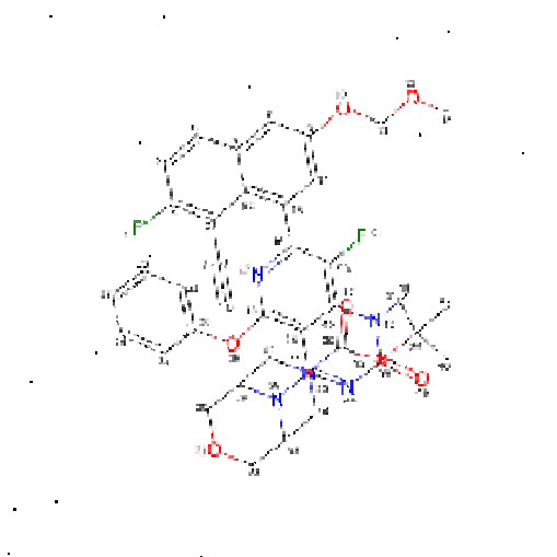 C#Cc1c(F)ccc2cc(OCOC)cc(-c3nc(Oc4ccccc4)c4c(N5C6COCC5CN(C(=O)OC(C)(C)C)C6)nc(=O)n(C)c4c3F)c12